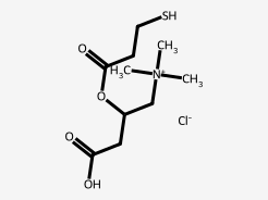 C[N+](C)(C)CC(CC(=O)O)OC(=O)CCS.[Cl-]